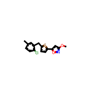 COc1cc(-c2ccc(Cc3cc(C)ccc3Cl)s2)on1